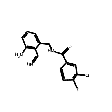 N=Cc1c(N)cccc1CNC(=O)c1ccc(F)c(Cl)c1